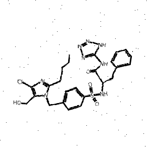 CCCCc1nc(Cl)c(CO)n1Cc1ccc(S(=O)(=O)N[C@H](Cc2ccccc2)C(=O)Nc2nnn[nH]2)cc1